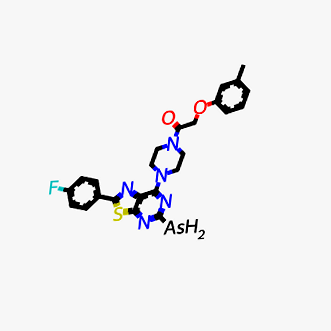 Cc1cccc(OCC(=O)N2CCN(c3nc([AsH2])nc4sc(-c5ccc(F)cc5)nc34)CC2)c1